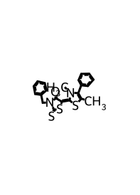 CC1=C(c2ccccc2)N(C)C(=C2SC(=S)N(Cc3ccccc3)C2=O)S1